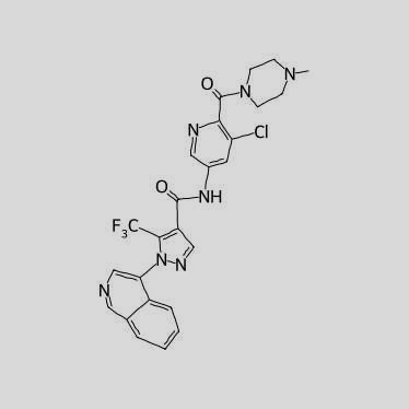 CN1CCN(C(=O)c2ncc(NC(=O)c3cnn(-c4cncc5ccccc45)c3C(F)(F)F)cc2Cl)CC1